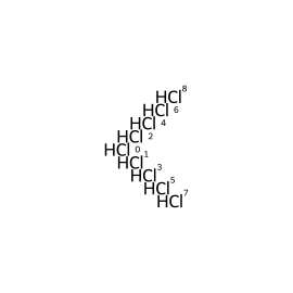 Cl.Cl.Cl.Cl.Cl.Cl.Cl.Cl.Cl